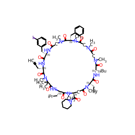 C#CC[C@@H]1NC(=O)[C@H](Cc2cccc(I)c2)NC(=O)CN(C)C(=O)[C@H](Cc2ccccc2)N(C)C(=O)CN(C)C(=O)CN(C)C(=O)[C@H]([C@@H](C)CC)NC(=O)[C@H](CC(C)C)N(C)C(=O)C[C@@H](C(=O)N2CCCCC2)N(C)C(=O)[C@H](CC(C)C)NC(=O)C(C)(C)N(C)C1=O